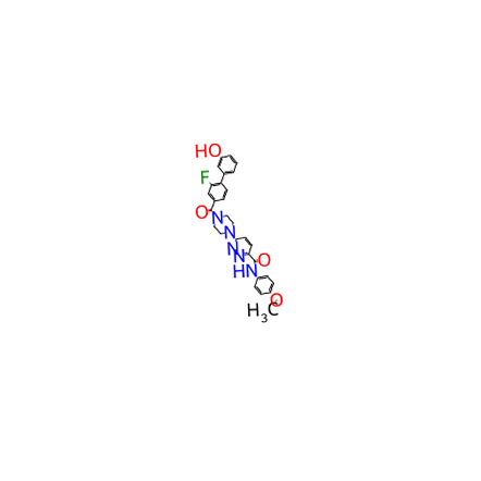 COc1ccc(NC(=O)c2ccc(N3CCN(C(=O)c4ccc(-c5cccc(O)c5)c(F)c4)CC3)nn2)cc1